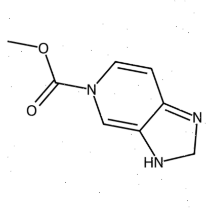 COC(=O)N1C=CC2=NCNC2=C1